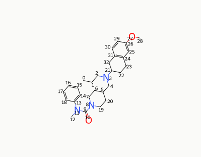 CCCN(CC1CCN(C(=O)N(C)c2ccccc2)CC1)C1CCc2cc(OC)ccc2C1